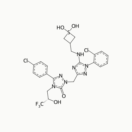 O=c1n(Cc2nc(NCC3CS(O)(O)C3)n(-c3ccccc3Cl)n2)nc(-c2ccc(Cl)cc2)n1C[C@H](O)C(F)(F)F